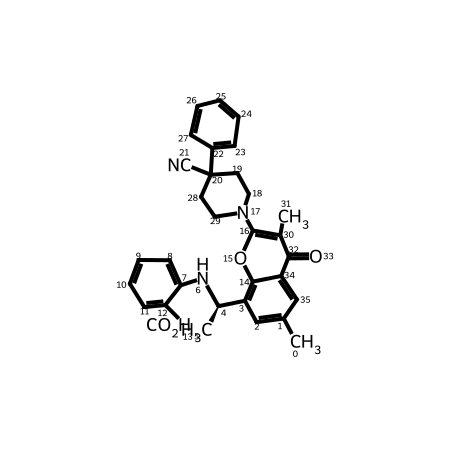 Cc1cc([C@@H](C)Nc2ccccc2C(=O)O)c2oc(N3CCC(C#N)(c4ccccc4)CC3)c(C)c(=O)c2c1